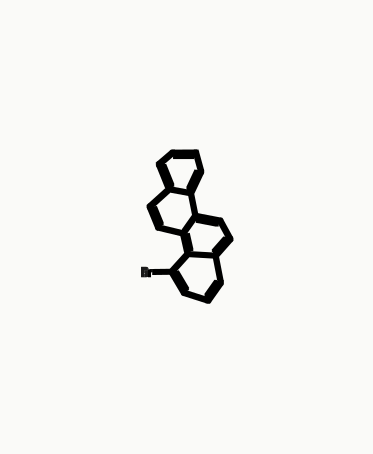 Brc1cccc2ccc3c4ccccc4ccc3c12